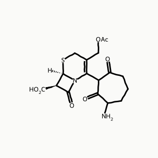 CC(=O)OCC1=C(C2C(=O)CCCC(N)C2=O)N2C(=O)[C@@H](C(=O)O)[C@H]2SC1